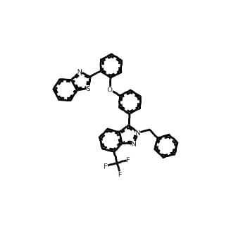 FC(F)(F)c1cccc2c(-c3cccc(Oc4ccccc4-c4nc5ccccc5s4)c3)n(Cc3ccccc3)nc12